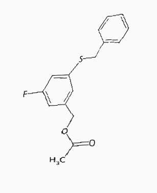 CC(=O)OCc1cc(F)cc(SCc2ccccc2)c1